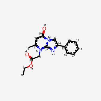 CCOC(=O)Cn1c(C)cc(=O)n2cc(-c3ccccc3)nc12